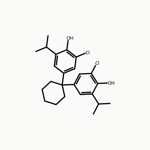 CC(C)c1cc(C2(c3cc(Cl)c(O)c(C(C)C)c3)CCCCC2)cc(Cl)c1O